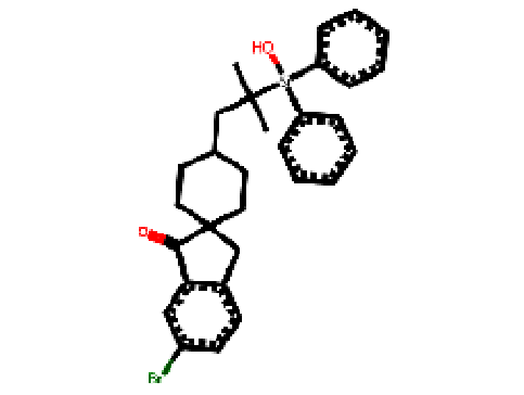 CC(C)(CC1CCC2(CC1)Cc1ccc(Br)cc1C2=O)[Si](O)(c1ccccc1)c1ccccc1